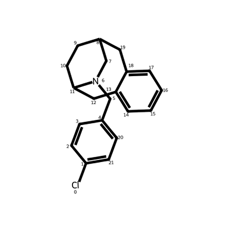 Clc1ccc(CN2CC3CCC2Cc2ccccc2C3)cc1